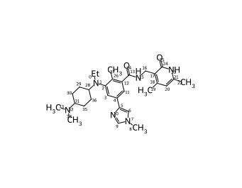 CCN(c1cc(-c2cn(C)cn2)cc(C(=O)NCc2c(C)cc(C)[nH]c2=O)c1C)C1CCC(N(C)C)CC1